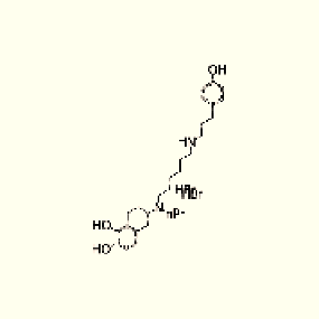 Br.Br.CCCN(CCCCCCNCCCc1ccc(O)cc1)C1CCc2c(ccc(O)c2O)C1